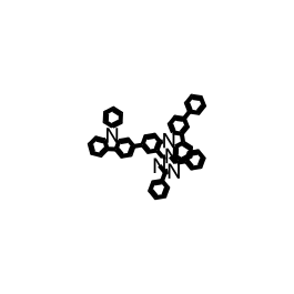 c1ccc(-c2ccc3c(c2)c2ccccc2n3-c2ccc(-c3ccc4c5ccccc5n(-c5ccccc5)c4c3)cc2-c2nc(-c3ccccc3)nc(-c3ccccc3)n2)cc1